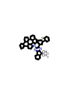 CC1(C)c2ccccc2-c2nc(-n3c4ccc5ccccc5c4c4c5c6ccccc6c6ccccc6c5ccc43)c(-c3ccc4sc5ccccc5c4c3)nc21